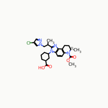 COC(=O)N1c2ccc3c(nc(C(C)Cn4cc(Cl)cn4)n3C3CCCC(C(=O)O)C3)c2CC[C@@H]1C